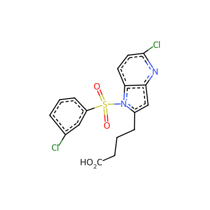 O=C(O)CCCc1cc2nc(Cl)ccc2n1S(=O)(=O)c1cccc(Cl)c1